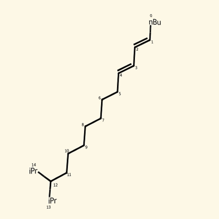 CCCCC=CC=CCCCCCCCC(C(C)C)C(C)C